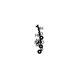 Nc1ncnc2c1n(-c1ccc(Oc3ccccc3)cc1)c(=O)n2-c1cccc(NC(=O)C=CCNC2CC2)c1